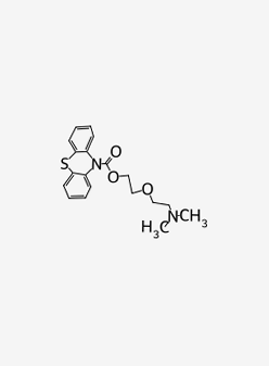 CN(C)CCOCCOC(=O)N1c2ccccc2Sc2ccccc21